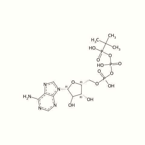 CC(C)(C)P(=O)(O)OP(=O)(O)OP(=O)(O)OC[C@H]1O[C@@H](n2cnc3c(N)ncnc32)C(O)[C@H]1O